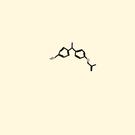 C=C(C)COc1ccc(C(C)c2ccc(CCC)cc2)cc1